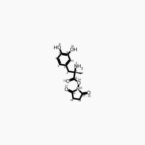 C[C@](N)(Cc1ccc(O)c(O)c1)C(=O)ON1C(=O)CCC1=O